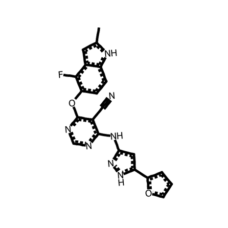 Cc1cc2c(F)c(Oc3ncnc(Nc4cc(-c5ccco5)[nH]n4)c3C#N)ccc2[nH]1